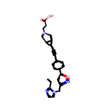 CCc1nccn1Cc1cc(-c2ccc(C#CC3C4CN(CCC(=O)O)CC34)cc2)on1